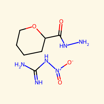 N=C(N)N[N+](=O)[O-].NNC(=O)C1CCCCO1